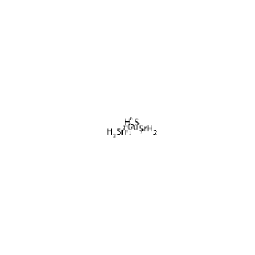 S.[Cu].[SnH2].[SrH2]